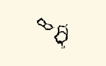 CN1CC2=CC(O)=CC=C(C2)[C@H](c2ccc3ccccc3c2)C1